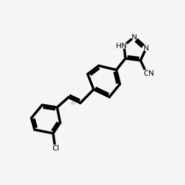 N#Cc1nn[nH]c1-c1ccc(/C=C/c2cccc(Cl)c2)cc1